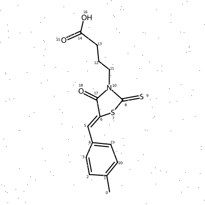 Cc1ccc(/C=C2\SC(=S)N(CCCC(=O)O)C2=O)cc1